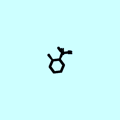 CC[SiH](C)[C@H]1CCCC[C@H]1C